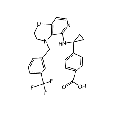 O=C(O)c1ccc(C2(Nc3nccc4c3N(Cc3cccc(C(F)(F)F)c3)CCO4)CC2)cc1